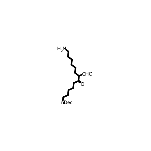 CCCCCCCCCCCCCCCC(=O)C([C]=O)CCCCCCN